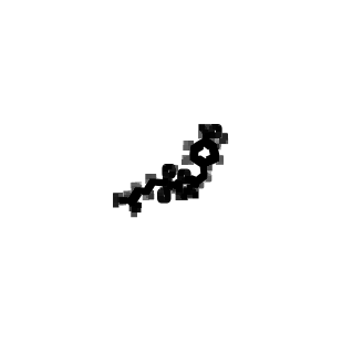 O=[N+]([O-])c1ccc(Cc2nnc(S(=O)(=O)CCC=C(F)F)o2)cc1